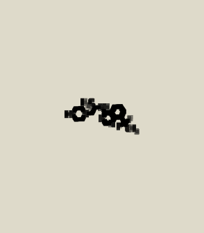 C[C@@H](CN1CCNCC1)Nc1ncnc2c(C(C)(F)F)cccc12